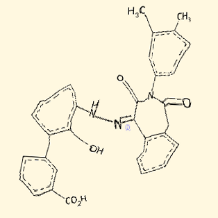 Cc1ccc(N2C(=O)/C(=N\Nc3cccc(-c4cccc(C(=O)O)c4)c3O)c3ccccc3C2=O)cc1C